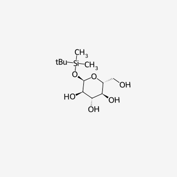 CC(C)(C)[Si](C)(C)O[C@H]1O[C@H](CO)[C@@H](O)[C@H](O)[C@H]1O